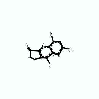 Cc1cc(F)c2nc3c(c(I)c2c1)CCC3=O